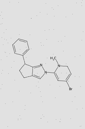 CN1CC=C(Br)C=C1n1cc2c(n1)C(c1ccccc1)CC2